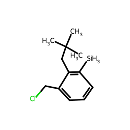 CC(C)(C)Cc1c([SiH3])cccc1CCl